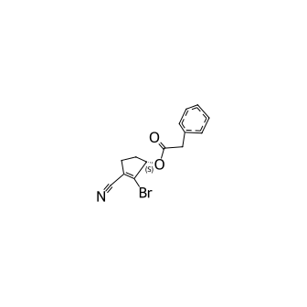 N#CC1=C(Br)[C@@H](OC(=O)Cc2ccccc2)CC1